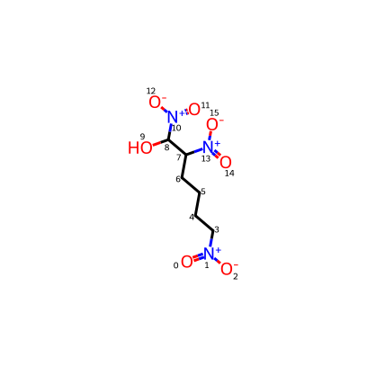 O=[N+]([O-])CCCCC(C(O)[N+](=O)[O-])[N+](=O)[O-]